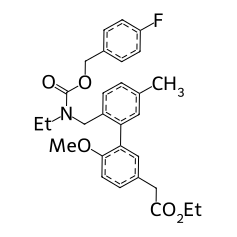 CCOC(=O)Cc1ccc(OC)c(-c2cc(C)ccc2CN(CC)C(=O)OCc2ccc(F)cc2)c1